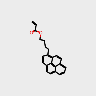 C=CC(=O)OCCCCc1ccc2ccc3cccc4ccc1c2c34